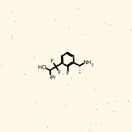 CC(C)C(O)C(F)(F)c1cccc([C@@H](C)N)c1F